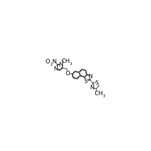 CC1CSC(c2nc3ccc4cc(OCc5cnc([N+](=O)[O-])n5C)ccc4c3s2)=N1